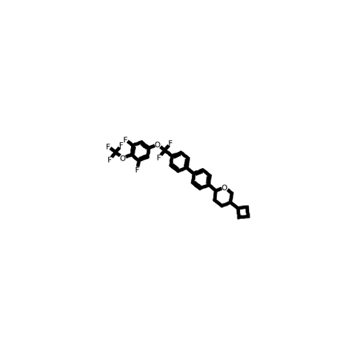 Fc1cc(OC(F)(F)c2ccc(-c3ccc(C4CCC(C5CCC5)CO4)cc3)cc2)cc(F)c1OC(F)(F)F